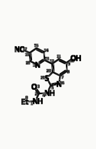 CCNC(=O)Nc1nc2cc(O)cc(-c3ccc(C#N)cn3)c2s1